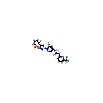 C[C@]1(c2cn(-c3ncc(NC(=O)Cc4cccc(C(F)(F)F)n4)cc3F)cn2)CCCS1(=O)=O